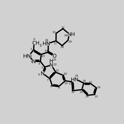 Cc1[nH]nc(-c2nc3ccc(-c4cc5ccccc5[nH]4)cc3[nH]2)c1C(=O)NC1CCNCC1